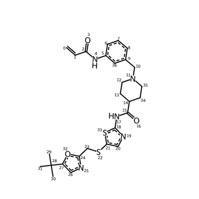 C=CC(=O)Nc1cccc(CN2CCC(C(=O)Nc3ncc(SCc4ncc(C(C)(C)C)o4)s3)CC2)c1